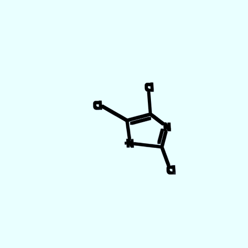 ClC1=NC(Cl)=C(Cl)[N]1